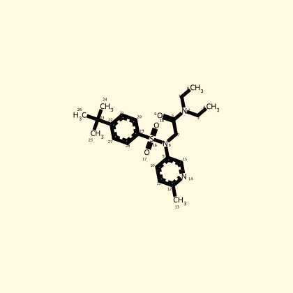 CCN(CC)C(=O)CN(c1ccc(C)nc1)S(=O)(=O)c1ccc(C(C)(C)C)cc1